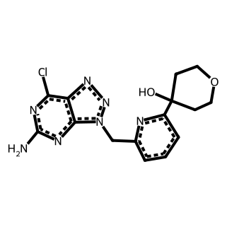 Nc1nc(Cl)c2nnn(Cc3cccc(C4(O)CCOCC4)n3)c2n1